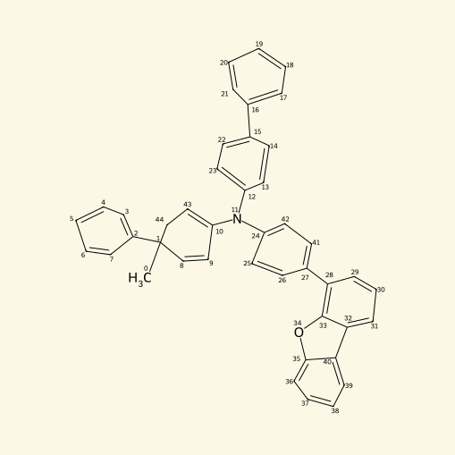 CC1(c2ccccc2)C=CC(N(c2ccc(-c3ccccc3)cc2)c2ccc(-c3cccc4c3oc3ccccc34)cc2)=CC1